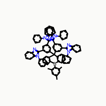 Cc1cc(C)c(B2c3ccccc3C(c3cc(-c4nc5ccccc5n4-c4ccccc4)cc(-c4nc5ccccc5n4-c4ccccc4)c3)(c3cc(-c4nc5ccccc5n4-c4ccccc4)cc(-c4nc5ccccc5n4-c4ccccc4)c3)c3ccccc32)c(C)c1